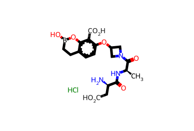 C[C@@H](NC(=O)[C@H](N)CC(=O)O)C(=O)N1CC(Oc2ccc3c(c2C(=O)O)OB(O)CC3)C1.Cl